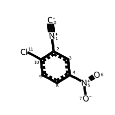 [C-]#[N+]c1cc([N+](=O)[O-])ccc1Cl